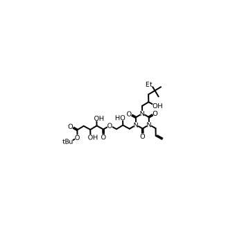 C=CCn1c(=O)n(CC(O)COC(=O)C(O)C(O)CC(=O)OC(C)(C)C)c(=O)n(CC(O)CC(C)(C)CC)c1=O